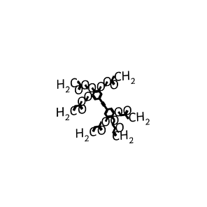 C=CC(=O)COc1cc(C#Cc2cc(OCOC(=O)C=C)c(OCOC(=O)C=C)c(OCOC(=O)C=C)c2)cc(OCC(=O)C=C)c1OCC(=O)C=C